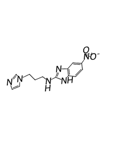 O=[N+]([O-])c1ccc2[nH]c(NCCCn3ccnc3)nc2c1